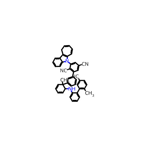 Cc1ccc(C#N)cc1-c1ccccc1NC1C=CC=CC1(C)c1cccc(-c2cc(C#N)cc(-n3c4c(c5ccccc53)CC=CC=C4)c2C#N)c1